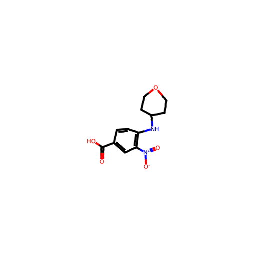 O=C(O)c1ccc(NC2CCOCC2)c([N+](=O)[O-])c1